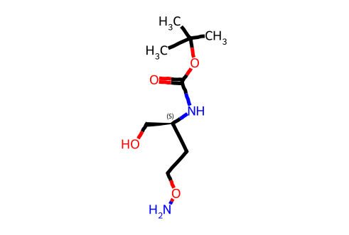 CC(C)(C)OC(=O)N[C@H](CO)CCON